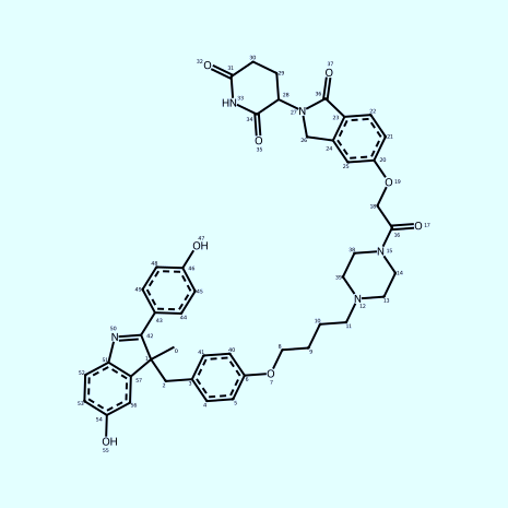 CC1(Cc2ccc(OCCCCN3CCN(C(=O)COc4ccc5c(c4)CN(C4CCC(=O)NC4=O)C5=O)CC3)cc2)C(c2ccc(O)cc2)=Nc2ccc(O)cc21